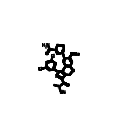 COc1cc2c(cc1-c1cccc(C(N)=O)c1)-c1c(c(C(=O)N(C)C(C)(C)C)nn1-c1cc(Cl)cc(Cl)c1)CO2